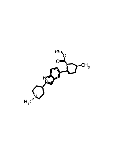 C[C@H]1CC=C(c2ccc3nn(C4CCN(C)CC4)cc3c2)N(C(=O)OC(C)(C)C)C1